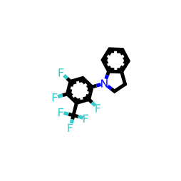 Fc1cc(N2CCc3ccccc32)c(F)c(C(F)(F)F)c1F